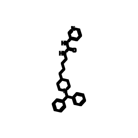 O=C(NCCCCC1CCN(C(c2ccccc2)c2ccccc2)CC1)Nc1cccnc1